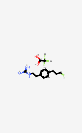 N=C(N)NCCc1ccc(CCCF)cc1.O=C(O)C(F)(F)F